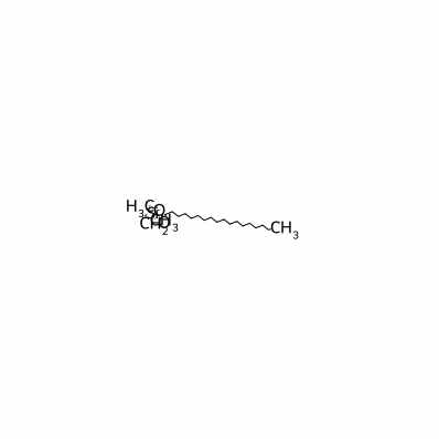 C=C[Si](C)(C)OC(=O)CCCCCCCCCCCCCCCCC